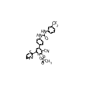 CS(=O)(=O)Oc1nc(-c2nccs2)cc(-c2ccc(NC(=O)Nc3cccc(C(F)(F)F)c3)cc2)c1C#N